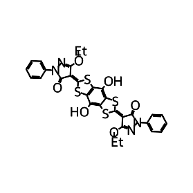 CCOC1=NN(c2ccccc2)C(=O)C1=C1Sc2c(O)c3c(c(O)c2S1)SC(=C1C(=O)N(c2ccccc2)N=C1OCC)S3